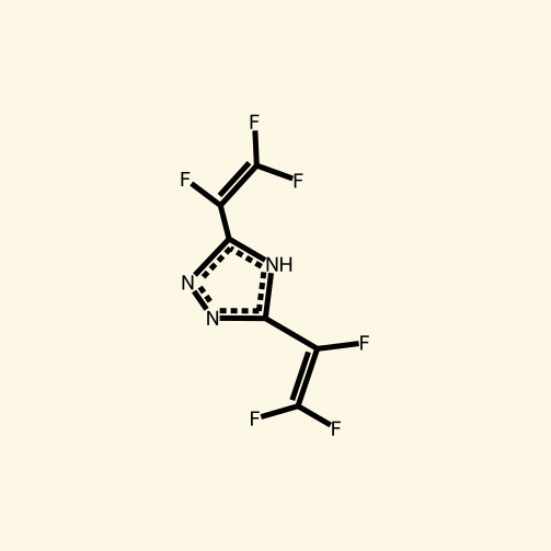 FC(F)=C(F)c1nnc(C(F)=C(F)F)[nH]1